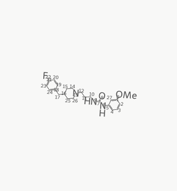 COc1cccc(NC(=O)NCCCN2CCC(Cc3ccc(F)cc3)CC2)c1